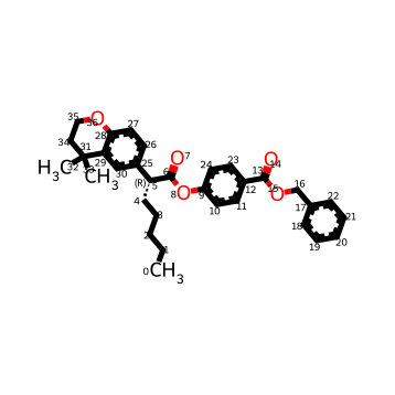 CCCCC[C@@H](C(=O)Oc1ccc(C(=O)OCc2ccccc2)cc1)c1ccc2c(c1)C(C)(C)CCO2